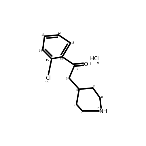 Cl.O=C(CC1CCNCC1)c1ccccc1Cl